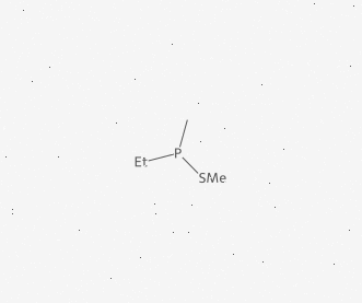 CCP(C)SC